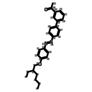 CCCCC(CC)COc1ccc(N=Nc2ccc(-c3cccc(C(C)=O)c3)cc2)cc1